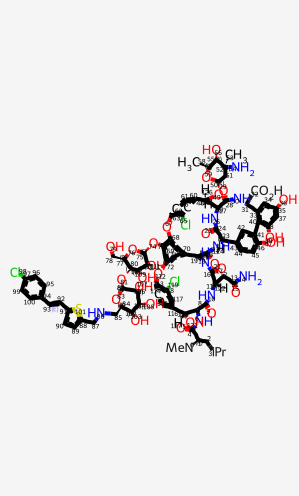 CN[C@H](CC(C)C)C(=O)NC1C(=O)N[C@@H](CC(N)=O)C(=O)N[C@H]2C(=O)N[C@H]3C(=O)N[C@H](C(=O)NC(C(=O)O)c4cc(O)cc(O)c4-c4cc3ccc4O)[C@H](O[C@H]3C[C@](C)(N)[C@@H](O)[C@H](C)O3)c3ccc(c(Cl)c3)Oc3cc2cc(c3O[C@@H]2O[C@H](CO)[C@@H](O[C@@H]3O[C@H](CNCc4ccc(/C=C/c5ccc(Cl)cc5)s4)[C@H](O)[C@H](O)[C@H]3O)[C@H](O)[C@H]2O)Oc2ccc(cc2Cl)[C@H]1O